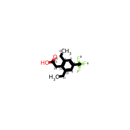 CCc1cc(C(F)(F)F)cc(CC)c1CC(=O)O